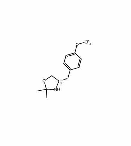 CC1(C)N[C@@H](Cc2ccc(OC(F)(F)F)cc2)CO1